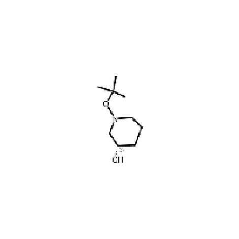 CC(C)(C)ON1CCC[C@H](O)C1